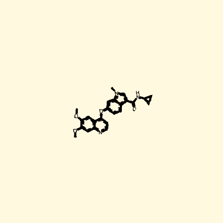 COc1cc2nccc(Oc3ccc4c(C(=O)NC5CC5)cn(C)c4c3)c2cc1OC